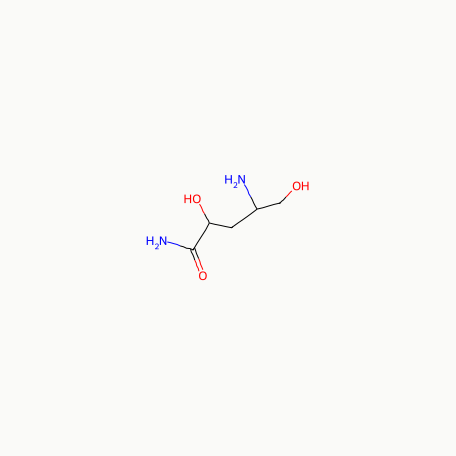 NC(=O)C(O)CC(N)CO